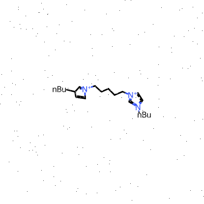 CCCCC1C=C[N+](CCCCC[n+]2ccn(CCCC)c2)=C1